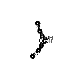 O=C(C(CO)N1CCN(c2ccc(OCc3ccccc3)cc2)CC1)C(CO)N1CCN(c2ccc(OCc3ccccc3)cc2)CC1